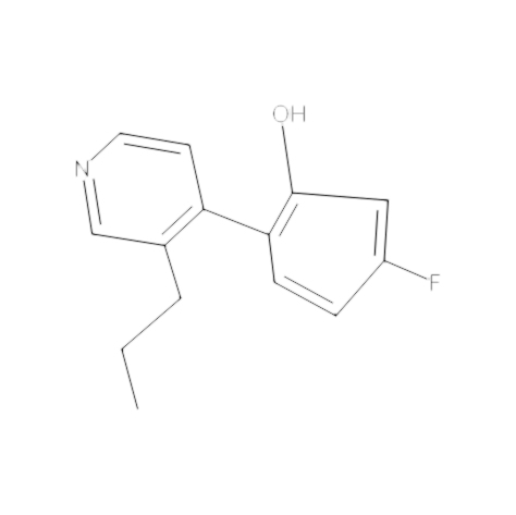 CCCc1cnccc1-c1ccc(F)cc1O